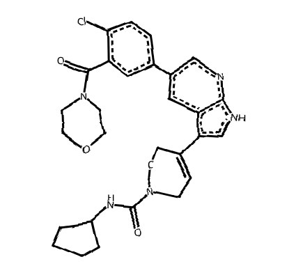 O=C(NC1CCCC1)N1CC=C(c2c[nH]c3ncc(-c4ccc(Cl)c(C(=O)N5CCOCC5)c4)cc23)CC1